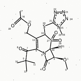 CO[C@H]1C(=O)N2C(C(=O)C(C)(C)C)=C(COC(C)=O)C(Sc3nnnn3C)S(=O)(=O)[C@H]12